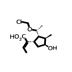 C/C=C(/C(=O)O)[C@H]1C[C@H](O)[C@H](C)[C@H]1[C@@H](C)OCCl